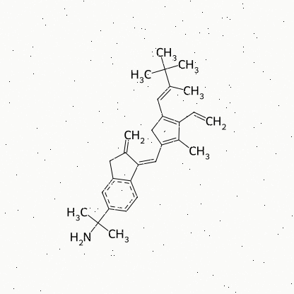 C=CC1=C(/C=C(\C)C(C)(C)C)CC(/C=C2\C(=C)Cc3cc(C(C)(C)N)ccc32)=C1C